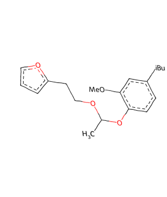 CCC(C)c1ccc(OC(C)OCCc2ccco2)c(OC)c1